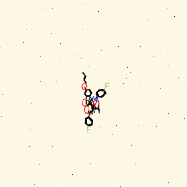 CCCCOc1ccc([C@@H]2[C@@H]3C(=O)O[C@H](c4ccc(F)cc4)C[C@@H]3ON2c2ccc(F)cc2)cc1